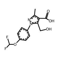 Cc1nn(-c2ccc(OC(F)F)cc2)c(CO)c1C(=O)O